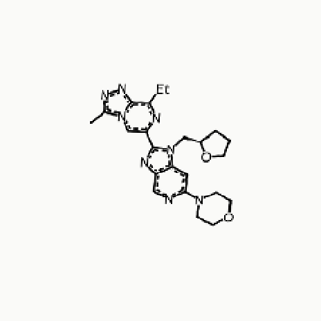 CCc1nc(-c2nc3cnc(N4CCOCC4)cc3n2C[C@H]2CCCO2)cn2c(C)nnc12